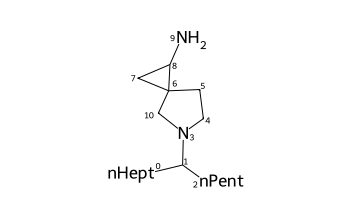 CCCCCCCC(CCCCC)N1CCC2(CC2N)C1